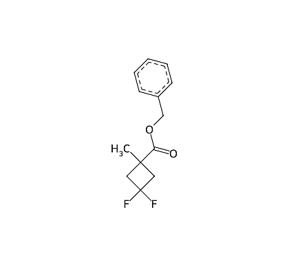 CC1(C(=O)OCc2ccccc2)CC(F)(F)C1